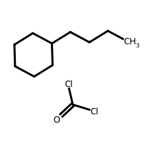 CCCCC1CCCCC1.O=C(Cl)Cl